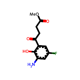 COC(=O)CCC(=O)c1cc(F)cc(N)c1O